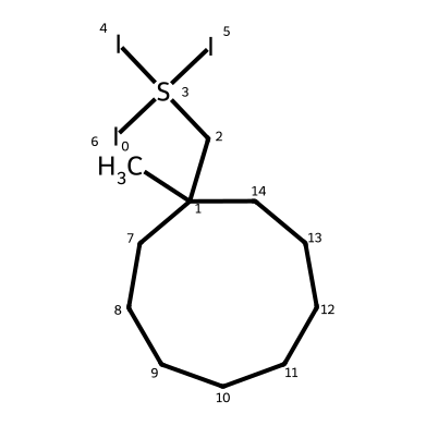 CC1(CS(I)(I)I)CCCCCCCC1